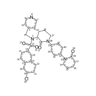 O=C1C(N(Cc2ccncc2)S(=O)(=O)c2ccc3cc(Cl)ccc3c2)CCCN1c1ccc(-n2ccccc2=O)cc1